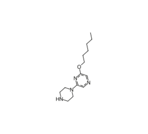 CCCCCCOc1cncc(N2CCNCC2)n1